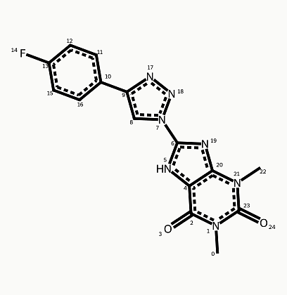 Cn1c(=O)c2[nH]c(-n3cc(-c4ccc(F)cc4)nn3)nc2n(C)c1=O